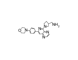 NCC1CCN(c2nc(-c3ccc(N4CCOCC4)cc3)cc3nccnc23)C1